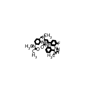 CC(=O)N(C)C1CC[C@@H](CN(C)CCCc2ccc(F)cc2)[C@H](NC(=O)Nc2cccc(-c3nnnn3C)c2)C1